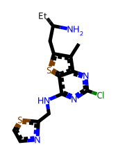 CCC(N)Cc1sc2c(NCc3nccs3)nc(Cl)nc2c1C